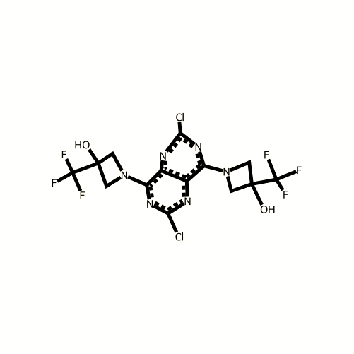 OC1(C(F)(F)F)CN(c2nc(Cl)nc3c(N4CC(O)(C(F)(F)F)C4)nc(Cl)nc23)C1